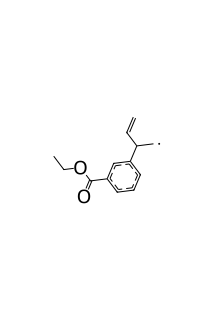 [CH2]C(C=C)c1cccc(C(=O)OCC)c1